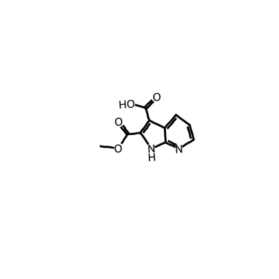 COC(=O)c1[nH]c2ncccc2c1C(=O)O